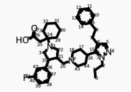 CCCn1ncc(CCc2ccccc2)c1C1CCN(CC2CN(C3(CC(=O)O)CCCCC3)CC2c2cccc(F)c2)CC1